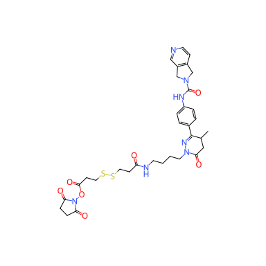 CC1CC(=O)N(CCCCNC(=O)CCSSCCC(=O)ON2C(=O)CCC2=O)N=C1c1ccc(NC(=O)N2Cc3ccncc3C2)cc1